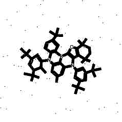 Cc1cc2c3c(c1)N(c1cc(C(C)(C)C)cc(C(C)(C)C)c1)c1c(oc4c1C(C)(C)CCC4(C)C)B3c1cc(C(C)(C)C)ccc1N2C1=CC(C(C)(C)C)=CC(C(C)(C)C)C1C